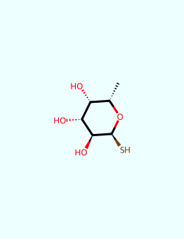 C[C@@H]1O[C@@H](S)[C@@H](O)[C@H](O)[C@@H]1O